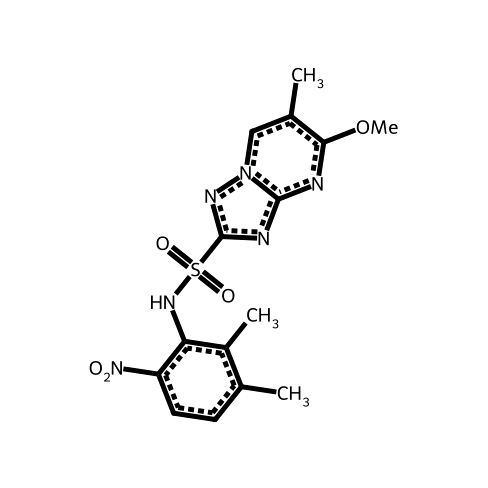 COc1nc2nc(S(=O)(=O)Nc3c([N+](=O)[O-])ccc(C)c3C)nn2cc1C